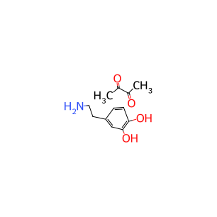 CC(=O)C(C)=O.NCCc1ccc(O)c(O)c1